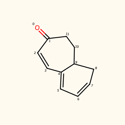 O=C1C=CC2=CC=CCC2CC1